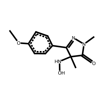 COc1ccc(C2=NN(C)C(=O)C2(C)NO)cc1